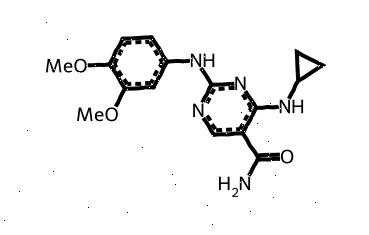 COc1ccc(Nc2ncc(C(N)=O)c(NC3CC3)n2)cc1OC